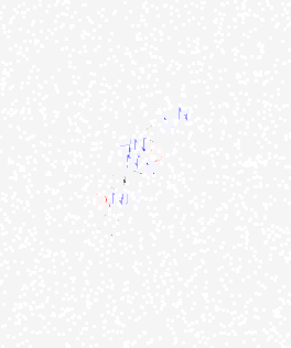 CN1CCN(c2ccc(Nc3nc(-c4ccc(F)c(NC(=O)c5ccc6c(c5)C5CCC6CC5)c4)cn(C)c3=O)cc2)CC1